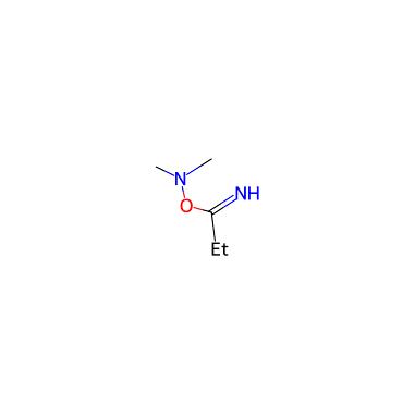 CCC(=N)ON(C)C